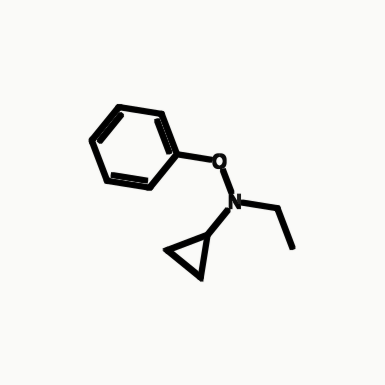 CCN(Oc1ccccc1)C1CC1